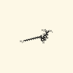 CCCCCCCCCCCCCCCCCCS(=O)(=O)N[C@H]1CCCNC(=O)C1[C@@H]1CCC(NC(=O)C(CCC)CCC)CC(=O)N1